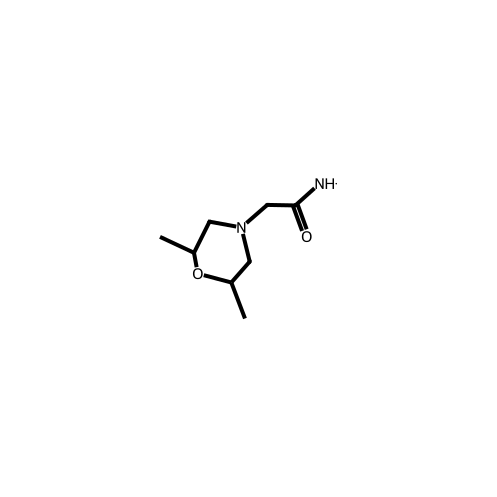 CC1CN(CC([NH])=O)CC(C)O1